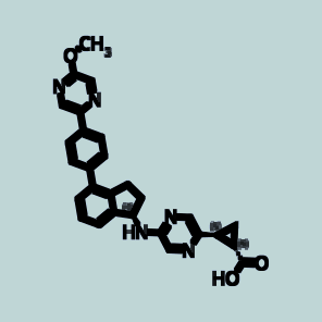 COc1cnc(-c2ccc(-c3cccc4c3CC[C@H]4Nc3cnc([C@H]4C[C@@H]4C(=O)O)cn3)cc2)cn1